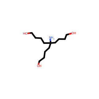 NC(CCCCO)(CCCCO)CCCCO